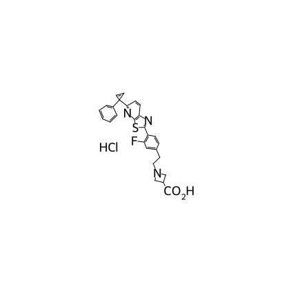 Cl.O=C(O)C1CN(CCc2ccc(-c3nc4ccc(C5(c6ccccc6)C=C5)nc4s3)c(F)c2)C1